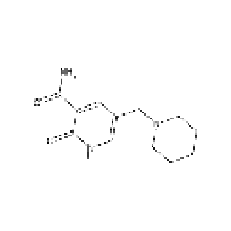 NC(=O)c1cc(CN2CCCCC2)c[nH]c1=O